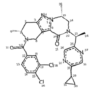 C[C@@H]1Cc2nn3c(c2CN1C(=O)c1ccc(Cl)c(Cl)c1)C(=O)N([C@@H](C)c1cnc(C2CC2)cn1)C[C@H]3C